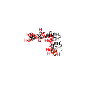 C=CC(=O)O.C=CC(=O)O.C=CC(=O)O.C=CC(=O)O.C=CC(=O)O.O=P(O)(O)O.OCC(CO)(CO)COCC(CO)(CO)CO